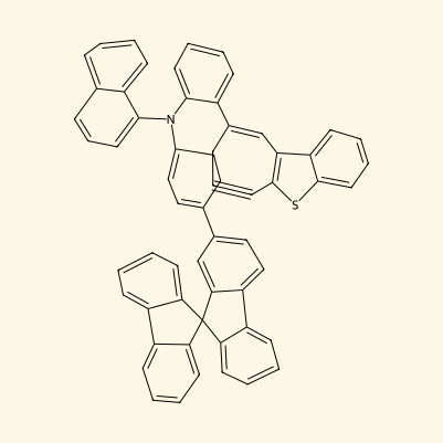 C1#Cc2sc3ccccc3c2C=C(c2ccccc2N(C2=CC=C(c3ccc4c(c3)C3(c5ccccc5-c5ccccc53)c3ccccc3-4)CC2)c2cccc3ccccc23)C1